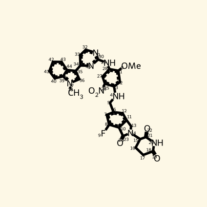 COc1cc(NCc2cc(F)c3c(c2)CN(C2CCC(=O)NC2=O)C3=O)c([N+](=O)[O-])cc1Nc1nccc(-c2cn(C)c3ccccc23)n1